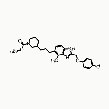 CCCCOC(=O)N1CCCC(CCCc2ccc3[nH]c(COc4ccc(Cl)cc4)nc3c2O)C1